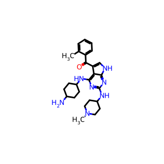 Cc1ccccc1C(=O)c1c[nH]c2nc(NC3CCN(C)CC3)nc(NC3CCC(N)CC3)c12